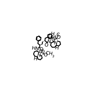 COC(=O)[C@@H]1CCC[C@@H]2CCC[C@H](NC(=O)[C@H](CC[C@H](Cc3ccccc3)C(=O)N[C@H]3CCC[C@H]4CCC[C@@H](C(=O)OC)N4C3=O)Cc3ccccc3)C(=O)N21